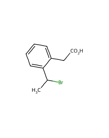 CC(Br)c1ccccc1CC(=O)O